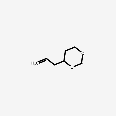 C=CCC1CCO[CH]O1